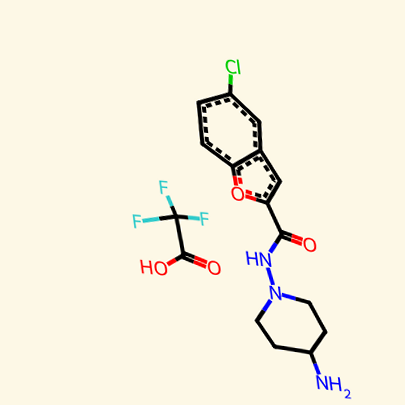 NC1CCN(NC(=O)c2cc3cc(Cl)ccc3o2)CC1.O=C(O)C(F)(F)F